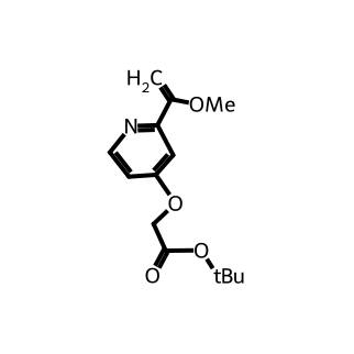 C=C(OC)c1cc(OCC(=O)OC(C)(C)C)ccn1